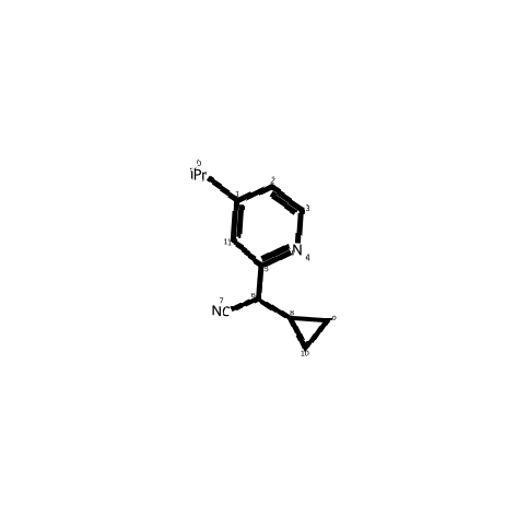 CC(C)c1ccnc(C(C#N)C2CC2)c1